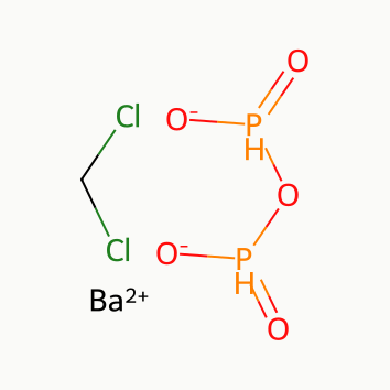 ClCCl.O=[PH]([O-])O[PH](=O)[O-].[Ba+2]